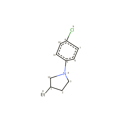 CCC1C[CH]N(c2ccc(Cl)cc2)C1